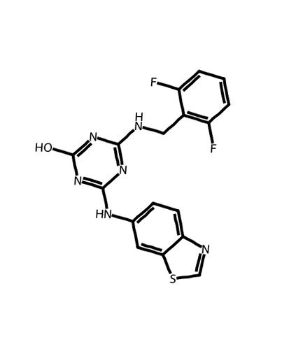 Oc1nc(NCc2c(F)cccc2F)nc(Nc2ccc3ncsc3c2)n1